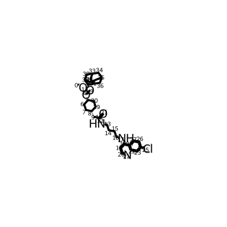 COC1(OO[C@H]2CC[C@@H](CC(=O)NCCCCNc3ccnc4cc(Cl)ccc34)CC2)C2CC3CC(C2)CC1C3